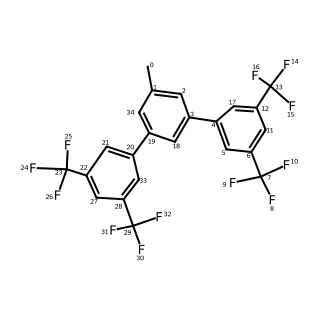 Cc1cc(-c2cc(C(F)(F)F)cc(C(F)(F)F)c2)cc(-c2cc(C(F)(F)F)cc(C(F)(F)F)c2)c1